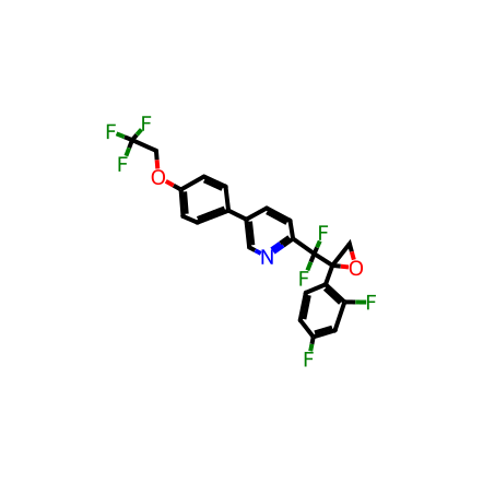 Fc1ccc(C2(C(F)(F)c3ccc(-c4ccc(OCC(F)(F)F)cc4)cn3)CO2)c(F)c1